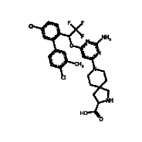 Cc1cc(-c2cc(Cl)ccc2C(Oc2cc(N3CCC4(CC3)CNC(C(=O)O)C4)nc(N)n2)C(F)(F)F)ccc1Cl